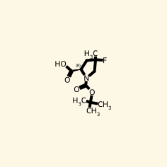 CC1(F)C[C@H](C(=O)O)N(C(=O)OC(C)(C)C)C1